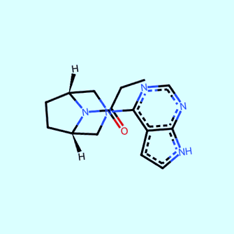 CCC(=O)N1[C@@H]2CC[C@H]1CN(c1ncnc3[nH]ccc13)C2